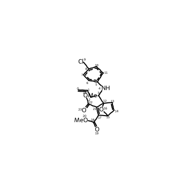 C=CC[C@@H](Nc1ccc(Cl)cc1)C12C=CC(O1)C(C(=O)OC)=C2C(=O)OC